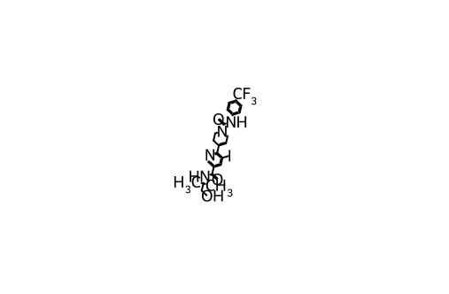 CC(C)(CO)NC(=O)c1cnc(C2=CCN(C(=O)Nc3ccc(C(F)(F)F)cc3)CC2)c(I)c1